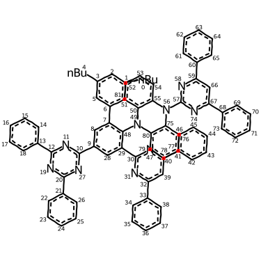 CCCCc1cc(CCCC)cc(-c2cc(-c3nc(-c4ccccc4)nc(-c4ccccc4)n3)cc(-c3nc(-c4ccccc4)cc(-c4ccccc4)n3)c2N2c3ccccc3N(c3nc(-c4ccccc4)cc(-c4ccccc4)n3)c3ccccc32)c1